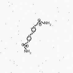 NCCS(=O)(=O)CCCN1CCN(CCN2CCN(CCS(=O)(=O)CCN)CC2)CC1